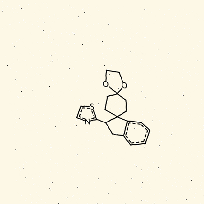 c1ccc2c(c1)CC(c1nccs1)C21CCC2(CC1)OCCO2